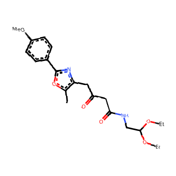 CCOC(CNC(=O)CC(=O)Cc1nc(-c2ccc(OC)cc2)oc1C)OCC